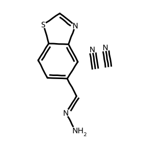 C#N.C#N.NN=Cc1ccc2scnc2c1